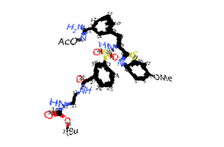 COc1ccc2nc(C(Cc3cccc(C(N)=NOC(C)=O)c3)NS(=O)(=O)c3cccc(C(=O)NCCNC(=O)OC(C)(C)C)c3)sc2c1